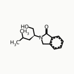 CC(C)C[C@@H](CO)N1Cc2ccccc2C1=O